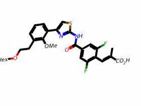 CCCCCCOCCc1cccc(-c2csc(NC(=O)c3cc(F)c(C=C(C)C(=O)O)c(F)c3)n2)c1OC